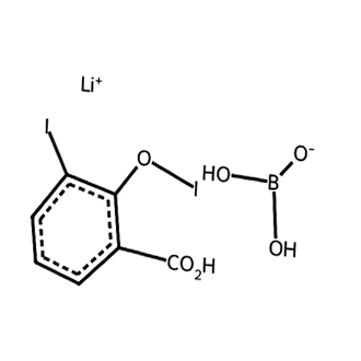 O=C(O)c1cccc(I)c1OI.[Li+].[O-]B(O)O